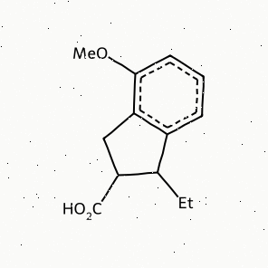 CCC1c2cccc(OC)c2CC1C(=O)O